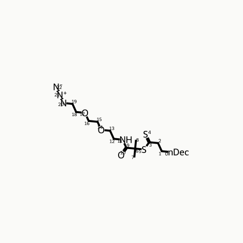 CCCCCCCCCCCCC(=S)SC(C)(C)C(=O)NCCOCCOCCN=[N+]=[N-]